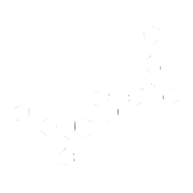 c1ccc(-c2ccc(N(c3ccccc3)c3ccc(-c4ccc(-c5ccc(N(c6ccccc6)c6ccc(-c7ccccc7)cc6)cc5)c5ccccc45)cc3)cc2)cc1